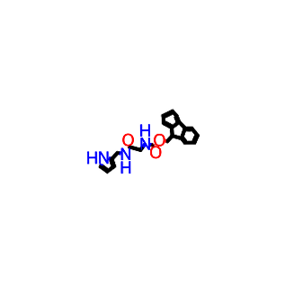 O=C(CNC(=O)OCC1c2ccccc2-c2ccccc21)NCc1ccc[nH]1